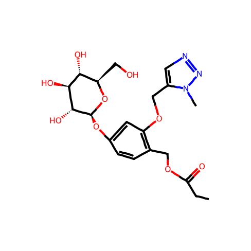 CCC(=O)OCc1ccc(O[C@@H]2O[C@H](CO)[C@@H](O)[C@H](O)[C@H]2O)cc1OCc1cnnn1C